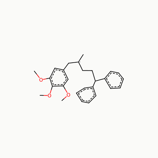 COc1cc(C[C](C)CCC(c2ccccc2)c2ccccc2)cc(OC)c1OC